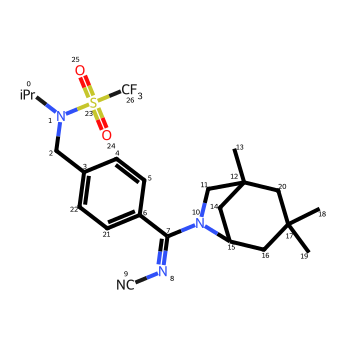 CC(C)N(Cc1ccc(C(=NC#N)N2CC3(C)CC2CC(C)(C)C3)cc1)S(=O)(=O)C(F)(F)F